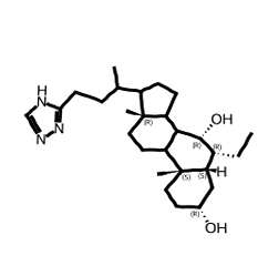 CC[C@H]1[C@@H](O)C2C3CCC(C(C)CCc4nnc[nH]4)[C@@]3(C)CCC2[C@@]2(C)CC[C@@H](O)C[C@@H]12